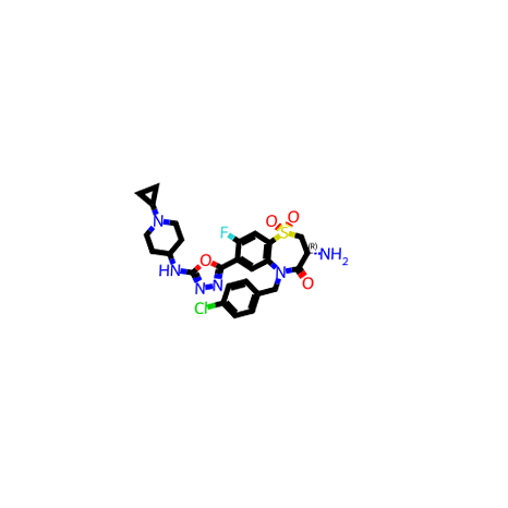 N[C@H]1CS(=O)(=O)c2cc(F)c(-c3nnc(NC4CCN(C5CC5)CC4)o3)cc2N(Cc2ccc(Cl)cc2)C1=O